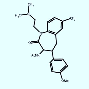 COc1ccc(C2Cc3cc(C(F)(F)F)ccc3N(CCN(C)C)C(=O)C2NC(C)=O)cc1